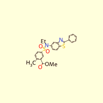 CCN(c1ccc2sc(-c3ccccc3)nc2c1)S(=O)(=O)c1ccc(C)c(C(=O)OC)c1